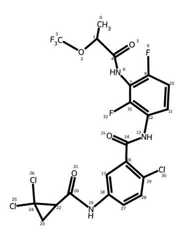 CC(OC(F)(F)F)C(=O)Nc1c(F)ccc(NC(=O)c2cc(NC(=O)C3CC3(Cl)Cl)ccc2Cl)c1F